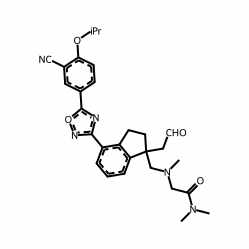 CC(C)Oc1ccc(-c2nc(-c3cccc4c3CCC4(CC=O)CN(C)CC(=O)N(C)C)no2)cc1C#N